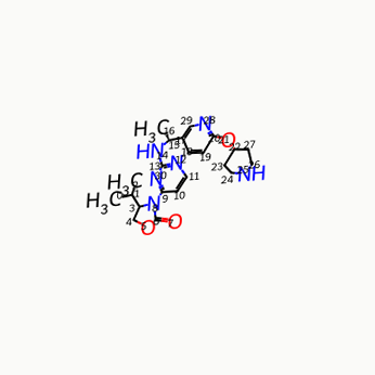 CC(C)C1COC(=O)N1c1ccnc(N[C@@H](C)c2ccc(OC3CCNCC3)nc2)n1